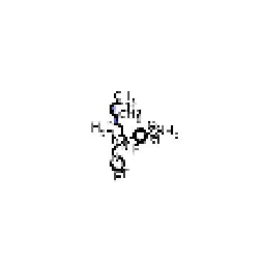 C=C(C)/C=C\C(C)=C(/C)Cc1nc(CN2CCC(F)(F)CC2)nn1-c1ccc(S(N)(=O)=O)cc1F